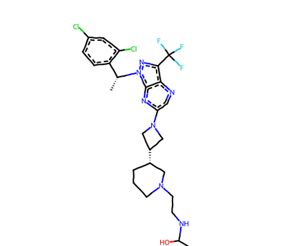 CC(O)NCCN1CCC[C@H](C2CN(c3cnc4c(C(F)(F)F)nn([C@H](C)c5ccc(Cl)cc5Cl)c4n3)C2)C1